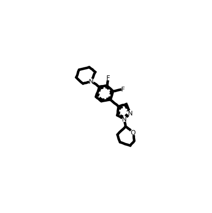 Fc1c(-c2cnn(C3CCCCO3)c2)ccc(N2CCCCC2)c1F